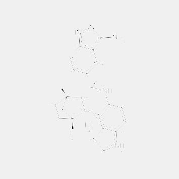 Nc1n[nH]c2ccc([C@@H]3Nc4ccc5[nH]cnc5c4[C@H]4[C@@H]5CC[C@@H](C5)[C@H]43)cc12